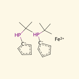 CC(C)(C)P[c-]1cccc1.CC(C)(C)P[c-]1cccc1.[Fe+2]